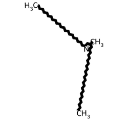 CCCCCCCCCCCCCCCCCCCCCCCc1cc(C)cc(CCCCCCCCCCCCCCCCCCCCCCC)n1